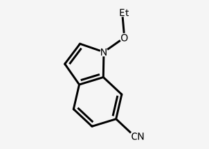 CCOn1ccc2ccc(C#N)cc21